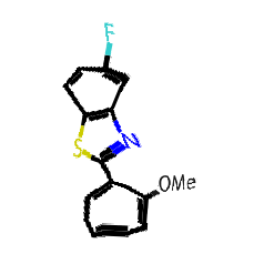 COc1ccccc1-c1nc2cc(F)ccc2s1